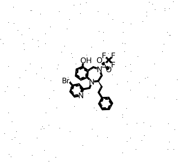 O=S(=O)(N1Cc2c(O)cccc2N(Cc2cc(Br)ccn2)[C@H](CCc2ccccc2)C1)C(F)(F)F